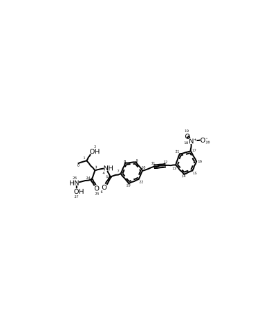 CC(O)C(NC(=O)c1ccc(C#Cc2cccc([N+](=O)[O-])c2)cc1)C(=O)NO